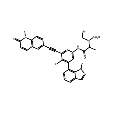 CC(C(=O)Nc1cc(-c2cccc3cnn(C)c23)c(Cl)c(C#Cc2ccc3c(ccc(=O)n3C)c2)n1)N(CC(C)(C)C)C(=O)O